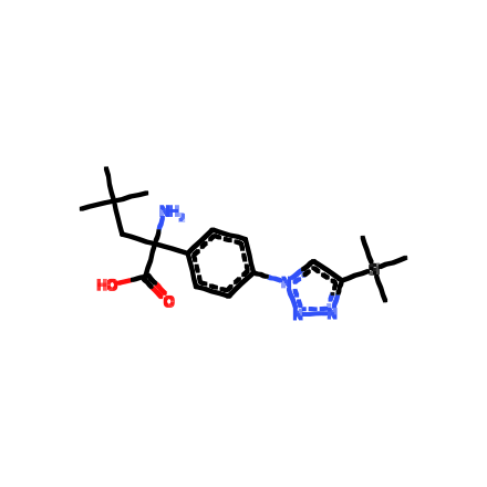 CC(C)(C)CC(N)(C(=O)O)c1ccc(-n2cc([Si](C)(C)C)nn2)cc1